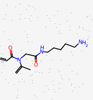 C=C(C)N(CC(=O)NCCCCCN)C(=O)/C=C\C